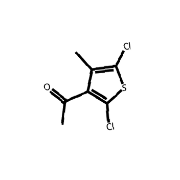 CC(=O)c1c(Cl)sc(Cl)c1C